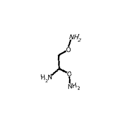 NOCC(N)ON